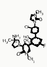 Cc1c(-c2cc(F)cc(-c3ccc(-n4ccn(C)c4=O)c(Cl)c3)c2O)cn(C)c(=O)c1N1CC[C@](C)(N)C1